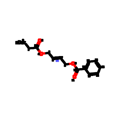 CCCCCCCCCCCC(=O)OC/C=C/COC(=O)c1ccccc1